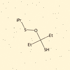 CCC(S)(CC)OSC(C)C